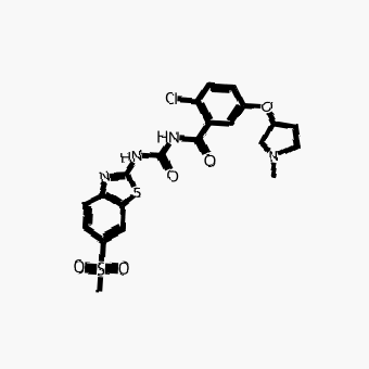 CN1CCC(Oc2ccc(Cl)c(C(=O)NC(=O)Nc3nc4ccc(S(C)(=O)=O)cc4s3)c2)C1